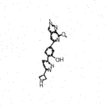 COc1nc(-c2ccc(-c3ccc(C4CNC4)nn3)c(O)c2)cc2cn(C)nc12